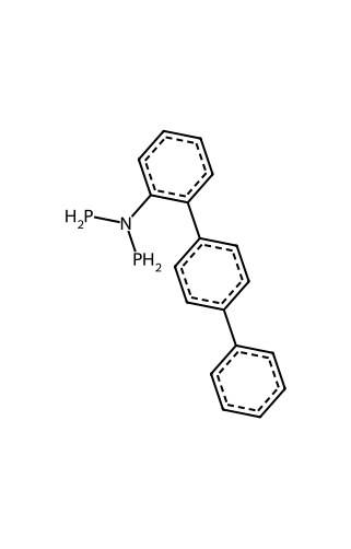 PN(P)c1ccccc1-c1ccc(-c2ccccc2)cc1